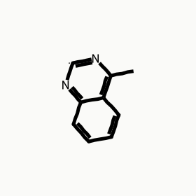 Cc1n[c]nc2ccccc12